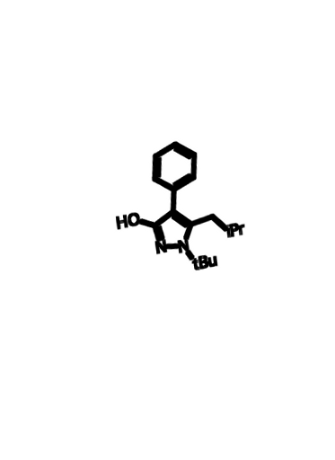 CC(C)Cc1c(-c2ccccc2)c(O)nn1C(C)(C)C